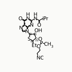 [C-]#[N+]CCOP(C)O[C@H]1[C@@H](O)[C@H](n2cnc3c(=O)[nH]c(NC(=O)C(C)C)nc32)S[C@@H]1CC